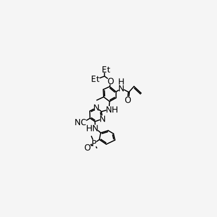 C=CC(=O)Nc1cc(Nc2ncc(C#N)c(Nc3ccccc3P(C)(C)=O)n2)c(C)cc1OC(CC)CC